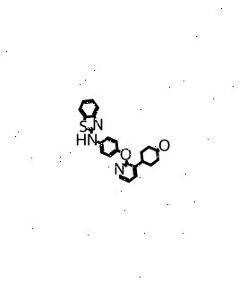 O=C1CCC(c2cccnc2Oc2ccc(Nc3nc4ccccc4s3)cc2)CC1